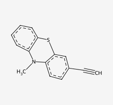 C#Cc1ccc2c(c1)Sc1ccccc1N2C